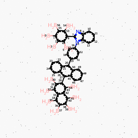 Bc1c(B)c(B)c(-c2nc3ccccc3n2-c2ccc(-c3c4ccccc4c(-c4c(B)c(B)c5c(B)c(B)c(B)c(B)c5c4B)c4ccccc34)cc2)c(B)c1B